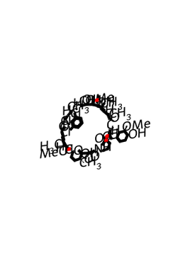 CO[C@H]1C[C@@H]2CC[C@@H](C)[C@@](O)(O2)C(=O)C(=O)N2CCCC3[C@H]2C(=O)O[C@@H](CC(=O)[C@H](C)/C=C(\C)[C@@H](O)[C@@H](OC)C(=O)[C@H](C)C[C@H](C)C2CCC(/C=C/1C)ON2c1c(Cl)cccc1Cl)[C@H]3C[C@@H]1CC[C@@H](O)[C@H](OC)C1